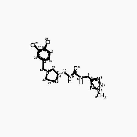 Cn1nnc(CNC(=O)NC[C@H]2CN(Cc3ccc(Cl)c(Cl)c3)CCO2)n1